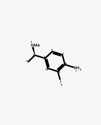 CN[C@H](C)c1ccc(N)c(I)c1